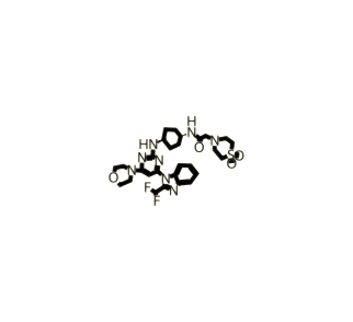 O=C(CN1CCS(=O)(=O)CC1)N[C@H]1CC[C@H](Nc2nc(N3CCOCC3)cc(-n3c(C(F)F)nc4ccccc43)n2)CC1